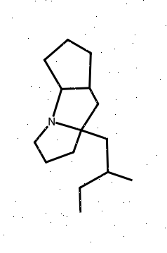 CCC(C)CC12CCCN1C1CCCC1C2